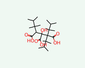 CC(C)C(C)(C)C(C(=O)O)C(O)(C(=O)O)C(C(=O)O)(C(C)(C)C(C)C)C(C)(C)C(C)C